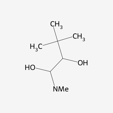 CNC(O)C(O)C(C)(C)C